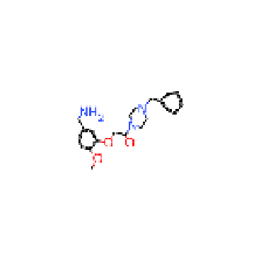 COc1ccc(CN)cc1OCC(=O)N1CCN(Cc2ccccc2)CC1